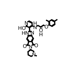 Cc1ccc(OC[C@H](O)CNc2ccnc(O)c2-c2nc3cc4c(cc3[nH]2)C(=O)N([C@H]2CCCN(C)C2)C4=O)c(C)c1